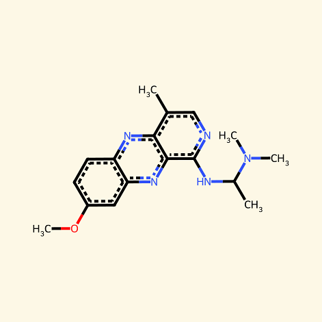 COc1ccc2nc3c(C)cnc(NC(C)N(C)C)c3nc2c1